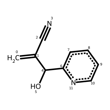 C=C(C#N)C(O)c1ccccn1